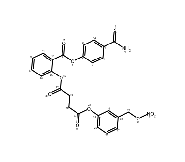 NC(=S)c1ccc(OC(=O)c2ccccc2OC(=O)CCC(=O)Oc2cccc(CO[N+](=O)[O-])c2)cc1